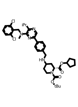 CC(C)c1ncc(-c2ccc(CNC3CCN(C(=O)OC(C)(C)C)[C@@H](C(=O)OC4CCCC4)C3)cc2)nc1N(C)Cc1c(Cl)cccc1Cl